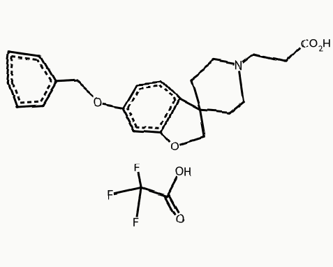 O=C(O)C(F)(F)F.O=C(O)CCN1CCC2(CC1)COc1cc(OCc3ccccc3)ccc12